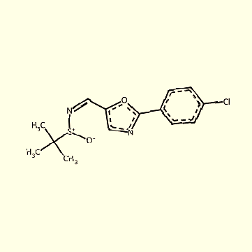 CC(C)(C)[S+]([O-])/N=C\c1cnc(-c2ccc(Cl)cc2)o1